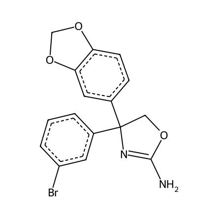 NC1=NC(c2cccc(Br)c2)(c2ccc3c(c2)OCO3)CO1